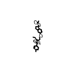 CCc1oc(-c2ccc(C)cc2)nc1CCOc1ccc2c(c1)CCC2OC(C)=O